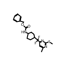 CSc1nc(C)cc(C(F)(F)C2CCC(NC(=O)OCc3ccccc3)CC2)n1